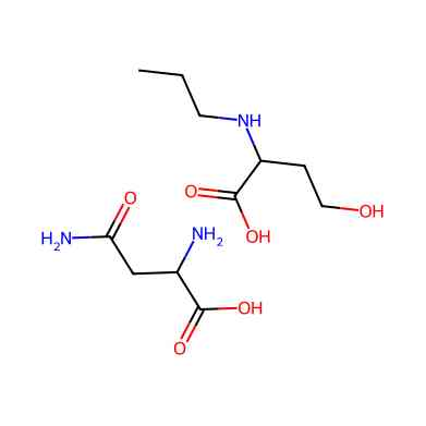 CCCNC(CCO)C(=O)O.NC(=O)CC(N)C(=O)O